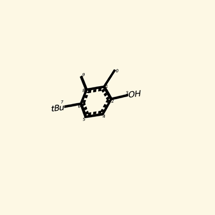 Cc1c(O)ccc(C(C)(C)C)c1C